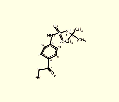 CC(C)(C)NS(=O)(=O)Nc1ccc(C(=O)CBr)cc1